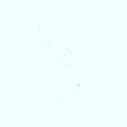 C=C(C)OC(=O)N[C@@H](Cc1ccc(NS(=O)(=O)O)cc1)c1nc(CO)cs1